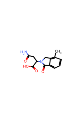 Cc1cccc2c1CN(C(CC(N)=O)C(=O)O)C2=O